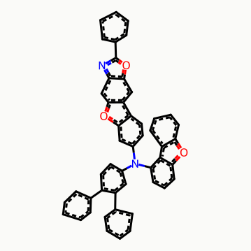 c1ccc(-c2nc3cc4oc5cc(N(c6ccc(-c7ccccc7)c(-c7ccccc7)c6)c6cccc7oc8ccccc8c67)ccc5c4cc3o2)cc1